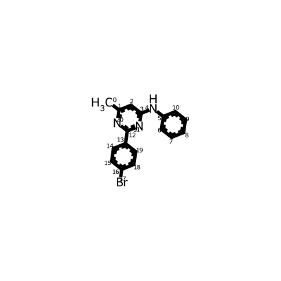 Cc1cc(Nc2ccccc2)nc(-c2ccc(Br)cc2)n1